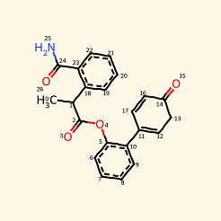 CC(C(=O)Oc1ccccc1C1=CCC(=O)C=C1)c1ccccc1C(N)=O